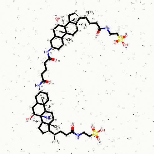 C#[N+][C@]12[C@@H]3CC[C@H]([C@H](C)CCC(=O)NCCS(=O)(=O)O)[C@@]3(C)CC[C@@H]1[C@@]1(C)CC[C@@H](NC(=O)CCCC(=O)N[C@@H]3CC[C@@]4(C)C(C3)C[C@H](O)[C@H]3[C@@H]5CC[C@H]([C@H](C)CCC(=O)NCCS(=O)(=O)O)[C@@]5(C)CC[C@@H]34)CC1C[C@@H]2O